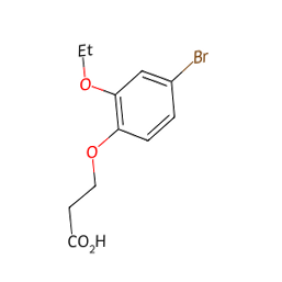 CCOc1cc(Br)ccc1OCCC(=O)O